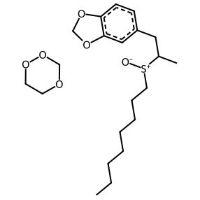 C1COOCO1.CCCCCCCC[S+]([O-])C(C)Cc1ccc2c(c1)OCO2